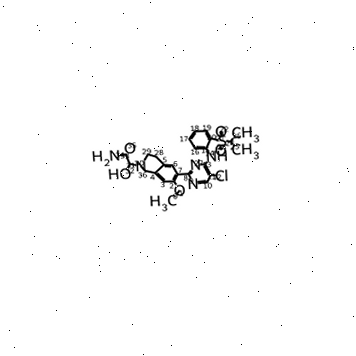 COc1cc2c(cc1-c1ncc(Cl)c(Nc3ccccc3S(=O)(=O)C(C)C)n1)CCN(C(O)C(N)=O)C2